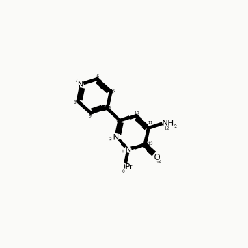 CC(C)n1nc(-c2ccncc2)cc(N)c1=O